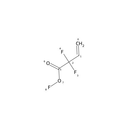 C=CC(F)(F)C(=O)OF